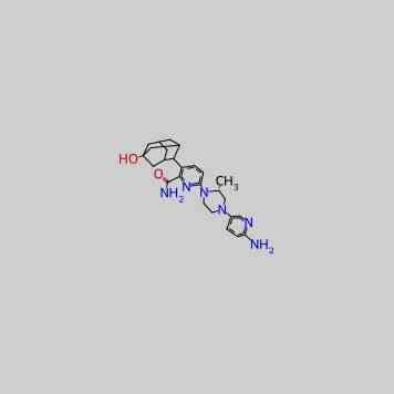 C[C@@H]1CN(c2ccc(N)nc2)CCN1c1ccc(C2C3CC4CC2CC(O)(C4)C3)c(C(N)=O)n1